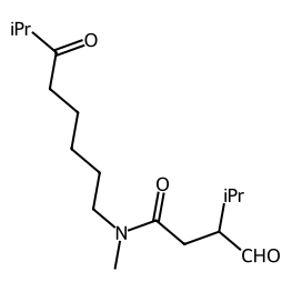 CC(C)C(=O)CCCCCN(C)C(=O)CC(C=O)C(C)C